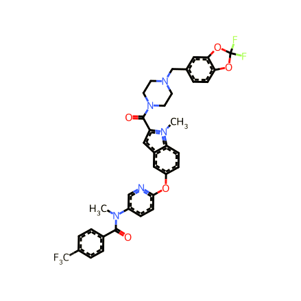 CN(C(=O)c1ccc(C(F)(F)F)cc1)c1ccc(Oc2ccc3c(c2)cc(C(=O)N2CCN(Cc4ccc5c(c4)OC(F)(F)O5)CC2)n3C)nc1